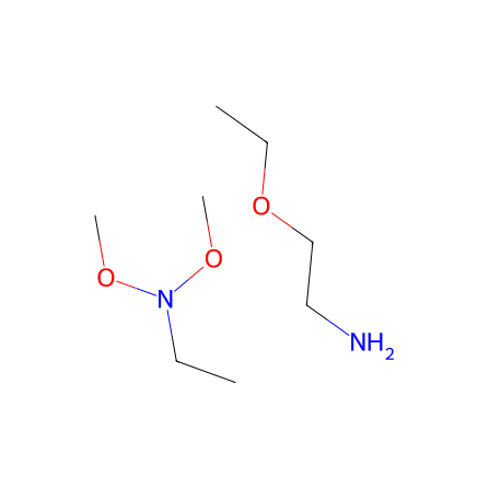 CCN(OC)OC.CCOCCN